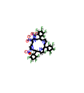 O=[N+]([O-])C1=CC2=NC1=C(c1c(F)c(F)c(F)c(F)c1F)C1=NC(=C(c3c(F)c(F)c(F)c(F)c3F)C3=NC(=C(c4c(F)c(F)c(F)c(F)c4F)c4[nH]c2c([N+](=O)[O-])c4[N+](=O)[O-])C=C3)C=C1